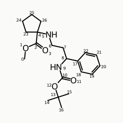 COC(=O)C1(NCCC(NC(=O)OC(C)(C)C)c2ccccc2)CCCC1